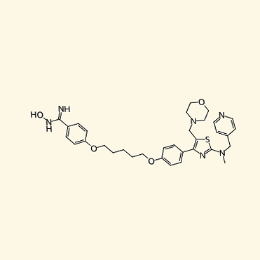 CN(Cc1ccncc1)c1nc(-c2ccc(OCCCCCOc3ccc(C(=N)NO)cc3)cc2)c(CN2CCOCC2)s1